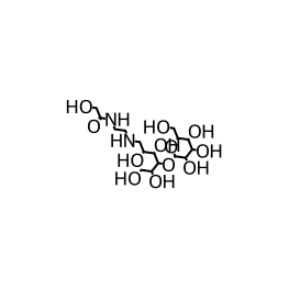 O=C(CO)NCCNCC(O)C(O)C(OC1OC(CO)C(O)C(O)C1O)C(O)CO